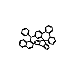 c1ccc(N(c2ccc3c(c2)C2(c4ccccc4-c4ccccc4-3)c3ccccc3-c3ccccc32)c2cccc3ccccc23)cc1